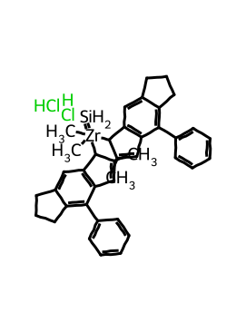 CC1=Cc2c(cc3c(c2-c2ccccc2)CCC3)[CH]1[Zr]([CH3])([CH3])(=[SiH2])[CH]1C(C)=Cc2c1cc1c(c2-c2ccccc2)CCC1.Cl.Cl